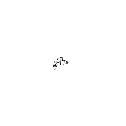 [Hf].[Ta].[Ti].[W]